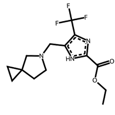 CCOC(=O)c1nc(C(F)(F)F)c(CN2CCC3(CC3)C2)[nH]1